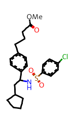 COC(=O)CCCc1ccc(C(CC2CCCC2)NS(=O)(=O)c2ccc(Cl)cc2)cc1